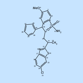 COc1ccc(S(N)(=O)=O)c(C(CCC(C)c2nc3ccc(Cl)cc3s2)c2ccccc2)c1